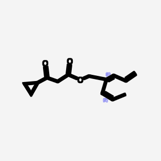 C=C/C=C(\C=C/C)COC(=O)CC(=O)C1CC1